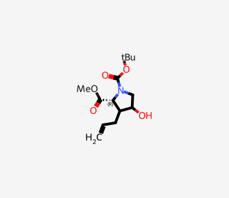 C=CCC1C(O)CN(C(=O)OC(C)(C)C)[C@H]1C(=O)OC